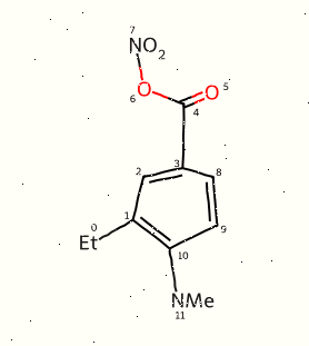 CCc1cc(C(=O)O[N+](=O)[O-])ccc1NC